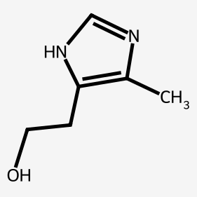 Cc1nc[nH]c1CCO